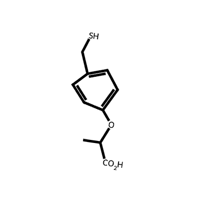 CC(Oc1ccc(CS)cc1)C(=O)O